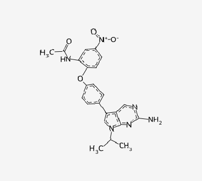 CC(=O)Nc1cc([N+](=O)[O-])ccc1Oc1ccc(-c2cn(C(C)C)c3nc(N)ncc23)cc1